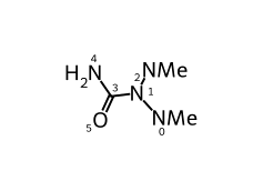 CNN(NC)C(N)=O